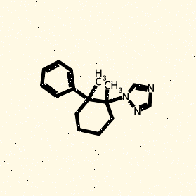 CC1(c2ccccc2)CCCCC1(C)n1cncn1